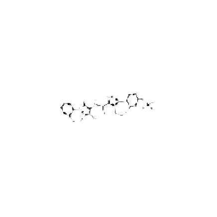 Cc1c(NC(=O)c2noc3c2CCSc2cc(OC(F)(F)F)ccc2-3)c(=O)n(-c2ccccc2F)n1C